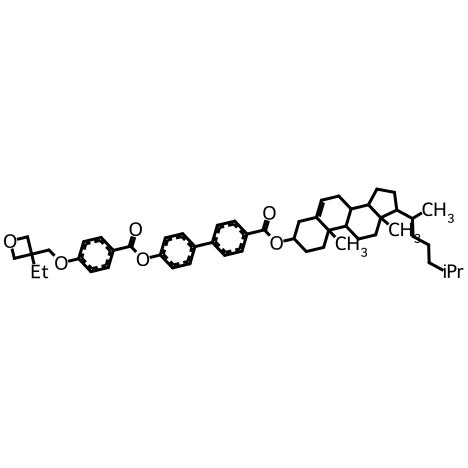 CCC1(COc2ccc(C(=O)Oc3ccc(-c4ccc(C(=O)OC5CCC6(C)C(=CCC7C6CCC6(C)C(C(C)CCCC(C)C)CCC76)C5)cc4)cc3)cc2)COC1